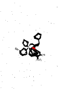 N#Cc1cc(C(=Cc2ccccc2)C[P+](c2ccccc2)(c2ccccc2)c2ccccc2)ccc1[N+](=O)[O-].[Br-]